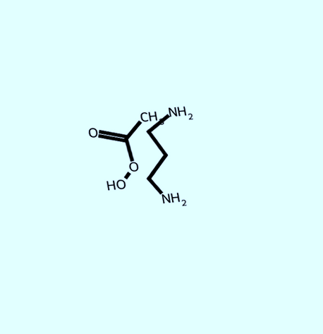 CC(=O)OO.NCCCN